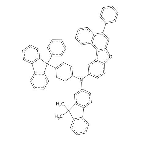 CC1(C)c2ccccc2-c2ccc(N(C3=CC=C(C4(c5ccccc5)c5ccccc5-c5ccccc54)CC3)c3ccc4oc5cc(-c6ccccc6)c6ccccc6c5c4c3)cc21